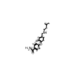 CC(C)CCNCc1ccc(Oc2ccc(C(N)=O)cn2)c(F)c1